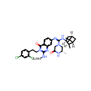 CC(=O)NNc1nc2cc(N=C(N[C@H]3C[C@H]4C[C@H]([C@H]3C)C4(C)C)N3CC(=O)N[C@@H](C)C3)ccc2c(=O)n1CCc1ccc(Cl)cc1Cl